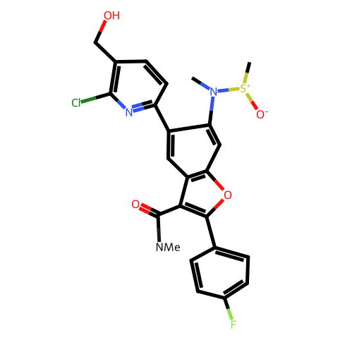 CNC(=O)c1c(-c2ccc(F)cc2)oc2cc(N(C)[S+](C)[O-])c(-c3ccc(CO)c(Cl)n3)cc12